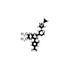 Cc1nc2nc(C3CCO[C@@H](c4cnn(C5CC5)c4)C3)nc(-c3ccc(C(F)F)cc3F)c2nc1C